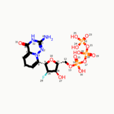 NC1=NN2C(=CCC=C2[C@@H]2O[C@H](COP(=O)(O)OP(=O)(O)OP(=O)(O)O)[C@@H](O)[C@H]2F)C(=O)N1